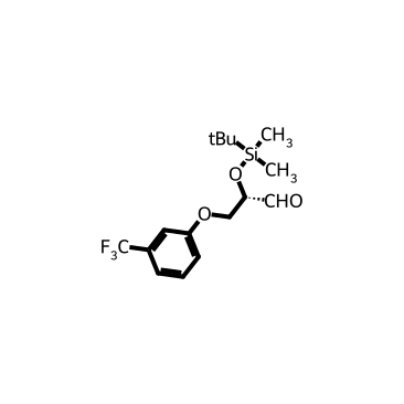 CC(C)(C)[Si](C)(C)O[C@H](C=O)COc1cccc(C(F)(F)F)c1